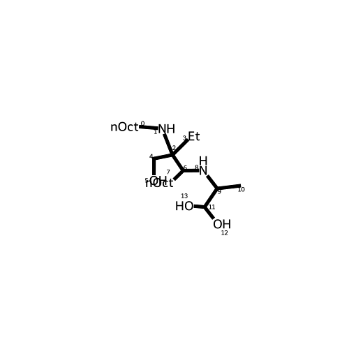 C[CH]CCCCCCNC(CC)(CO)C(CCCCCCCC)NC(C)C(O)O